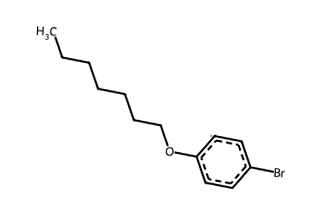 CCCCCCCOc1[c]cc(Br)cc1